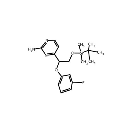 CC(C)(C)[Si](C)(C)OCC(Oc1cccc(F)c1)c1ccnc(N)n1